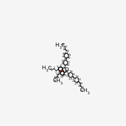 CCCCc1ccc(C(OC(c2ccc(CCCC)cc2)[C@H]2CC[C@H]([C@H]3CC[C@H](CCCC)CC3)CC2)[C@H]2CC[C@H]([C@H]3CC[C@H](CCCC)CC3)CC2)cc1